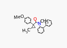 COc1ccc(C2(C(=O)N(C)c3ccccc3-c3ccccc3)CC2C)cc1